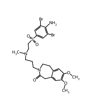 COc1cc2c(cc1OC)CC(=O)N(CCCN(C)CCS(=O)(=O)c1cc(Br)c(N)c(Br)c1)CC2